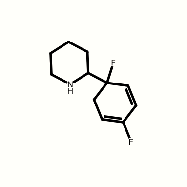 FC1=CCC(F)(C2CCCCN2)C=C1